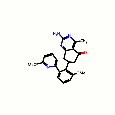 COc1cccc(-c2cccc(OC)c2C2CC(=O)c3c(C)nc(N)nc3C2)n1